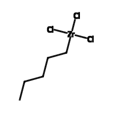 CCCC[CH2][Zr]([Cl])([Cl])[Cl]